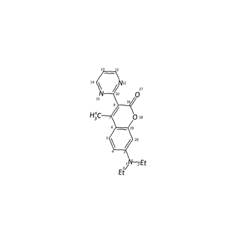 CCN(CC)c1ccc2c(C)c(-c3ncccn3)c(=O)oc2c1